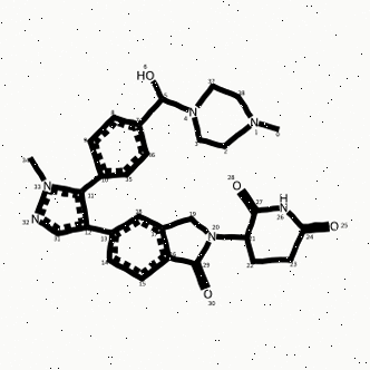 CN1CCN(C(O)c2ccc(-c3c(-c4ccc5c(c4)CN(C4CCC(=O)NC4=O)C5=O)cnn3C)cc2)CC1